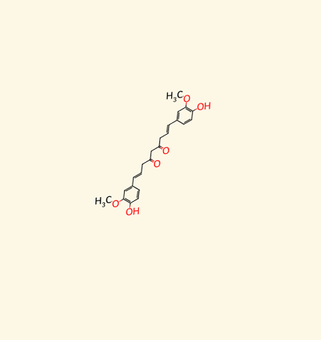 COc1cc(/C=C/CC(=O)CC(=O)C/C=C/c2ccc(O)c(OC)c2)ccc1O